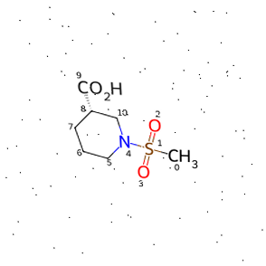 CS(=O)(=O)N1CCC[C@H](C(=O)O)C1